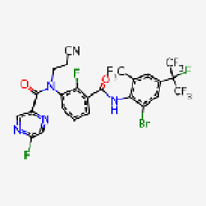 N#CCCN(C(=O)c1cnc(F)cn1)c1cccc(C(=O)Nc2c(Br)cc(C(F)(C(F)(F)F)C(F)(F)F)cc2C(F)(F)F)c1F